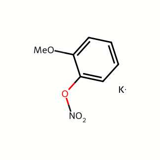 COc1ccccc1O[N+](=O)[O-].[K]